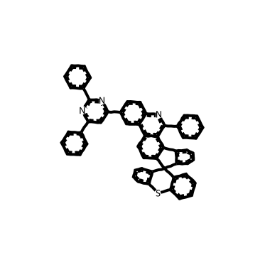 c1ccc(-c2cc(-c3ccc4nc(-c5ccccc5)c5c6c(ccc5c4c3)C3(c4ccccc4Sc4ccccc43)c3ccccc3-6)nc(-c3ccccc3)n2)cc1